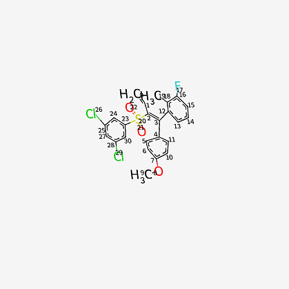 C=C/C(=C(/c1ccc(OC)cc1)c1cccc(F)c1C)S(=O)(=O)c1cc(Cl)cc(Cl)c1